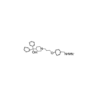 [N-]=[N+]=NCc1ccc(OCCCN2CCC(C(O)(c3ccccc3)c3ccccc3)CC2)cc1